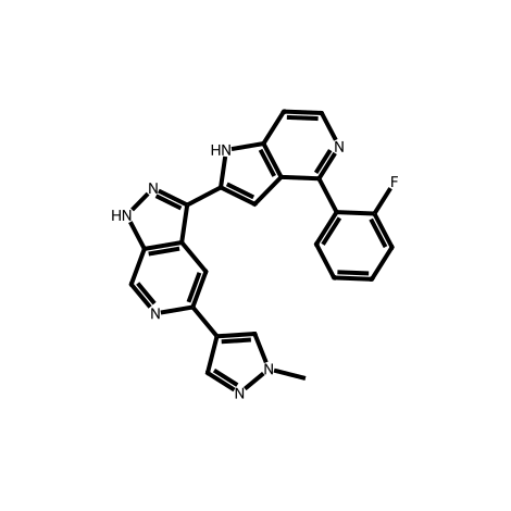 Cn1cc(-c2cc3c(-c4cc5c(-c6ccccc6F)nccc5[nH]4)n[nH]c3cn2)cn1